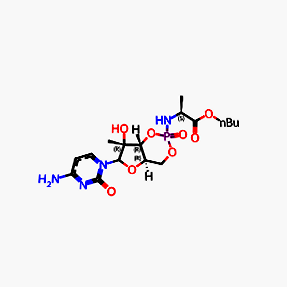 CCCCOC(=O)[C@H](C)NP1(=O)OC[C@H]2OC(n3ccc(N)nc3=O)[C@](C)(O)[C@@H]2O1